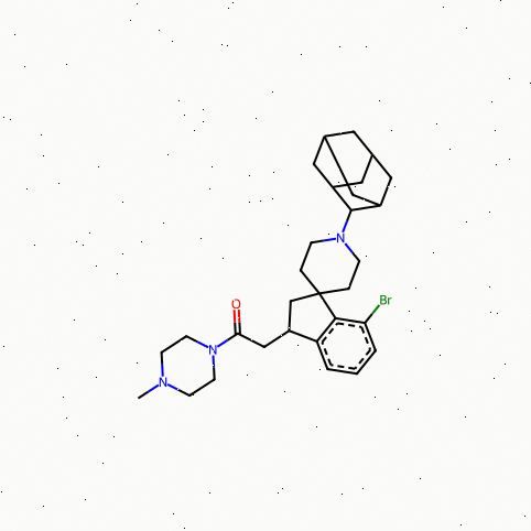 CN1CCN(C(=O)CC2CC3(CCN(C4C5CC6CC(C5)CC4C6)CC3)c3c(Br)cccc32)CC1